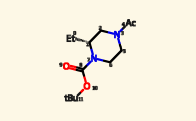 CC[C@@H]1CN(C(C)=O)CCN1C(=O)OC(C)(C)C